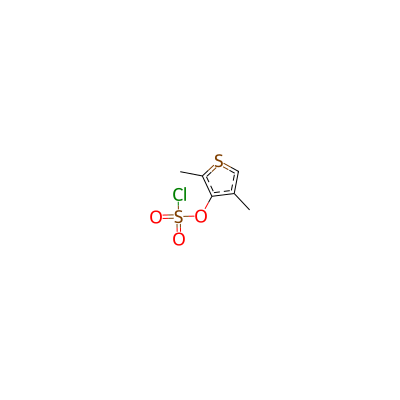 Cc1csc(C)c1OS(=O)(=O)Cl